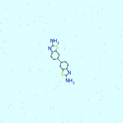 Nc1nc2ccc(-c3ccc4nc(N)sc4c3)cc2s1